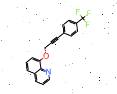 FC(F)(F)c1ccc(C#CCOc2cccc3cccnc23)cc1